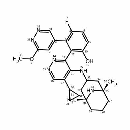 COc1cc(-c2c(F)ccc(O)c2-c2nncc(C3CC3)c2NC2C[C@]3(C)CCC[C@](C)(C2)N3)cnn1